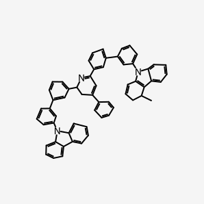 CC1CC=Cc2c1c1ccccc1n2-c1cccc(-c2cccc(C3=NC(c4cccc(-c5cccc(-n6c7ccccc7c7ccccc76)c5)c4)CC(c4ccccc4)=C3)c2)c1